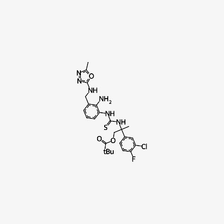 Cc1nnc(NCc2cccc(NC(=S)NC(C)(COC(=O)C(C)(C)C)c3ccc(F)c(Cl)c3)c2N)o1